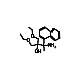 CCOCC(O)(COCC)C(C)(N)c1cccc2ccccc12